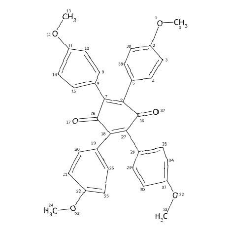 COc1ccc(C2=C(c3ccc(OC)cc3)C(=O)C(c3ccc(OC)cc3)=C(c3ccc(OC)cc3)C2=O)cc1